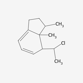 CC(Cl)C1C=CC=C2CCC(C)C21C